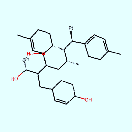 CCC[C@@H](O)C(CC1C=CC(O)CC1)C(CO)C[C@@H](C)C([C@@H]1CC=C(C)CC1)[C@@H](CC)C1=CC=C(C)CC1